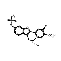 CC(C)(C)[C@@H]1Cc2c(oc3cc(OS(=O)(=O)C(F)(F)F)ccc23)-c2cc(=O)c(C(=O)O)cn21